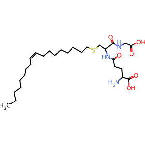 CCCCCCCC/C=C\CCCCCCCCSCC(NC(=O)CCC(N)C(=O)O)C(=O)NCC(=O)O